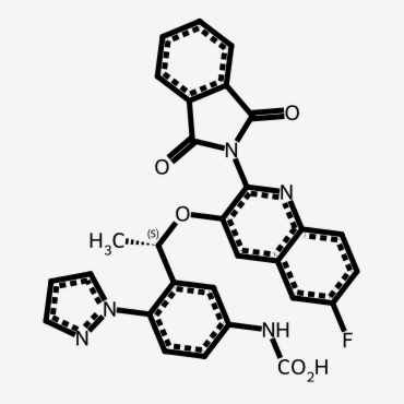 C[C@H](Oc1cc2cc(F)ccc2nc1N1C(=O)c2ccccc2C1=O)c1cc(NC(=O)O)ccc1-n1cccn1